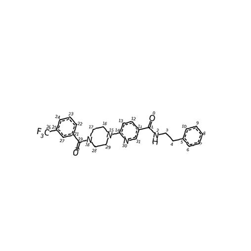 O=C(NCCc1ccccc1)c1ccc(N2CCN(C(=O)c3cccc(C(F)(F)F)c3)CC2)nc1